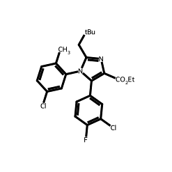 CCOC(=O)c1nc(CC(C)(C)C)n(-c2cc(Cl)ccc2C)c1-c1ccc(F)c(Cl)c1